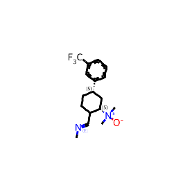 C/N=C/C1CC[C@H](c2cccc(C(F)(F)F)c2)C[C@@H]1[N+](C)(C)[O-]